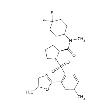 Cc1ccc(S(=O)(=O)N2CCC[C@H]2C(=O)N(C)C2CCC(F)(F)CC2)c(-c2ncc(C)o2)c1